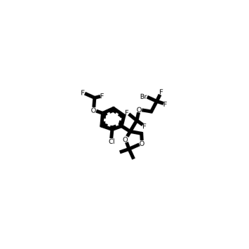 CC1(C)OCC(c2ccc(OC(F)F)cc2Cl)(C(F)(F)OCC(F)(F)Br)O1